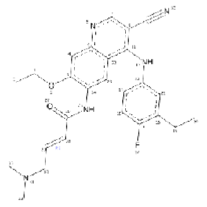 CCOc1cc2ncc(C#N)c(Nc3ccc(F)c(CC)c3)c2cc1NC(=O)/C=C/CN(C)C